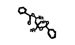 CCCC(CCC)(CC(CC)OC(=O)c1ccccc1)OC(=O)c1ccccc1